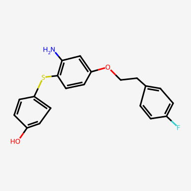 Nc1cc(OCCc2ccc(F)cc2)ccc1Sc1ccc(O)cc1